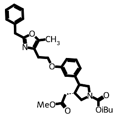 COC(=O)C[C@H]1CN(C(=O)OCC(C)C)CC1c1cccc(OCCc2nc(Cc3ccccc3)oc2C)c1